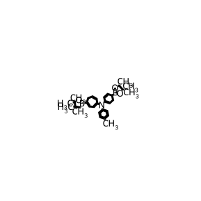 Cc1ccc(N(C2=CC=C(B3CC(C)(C)C(C)(C)O3)CC=C2)C2=CCC(B3OC(C)C(C)(C)O3)C=C2)cc1